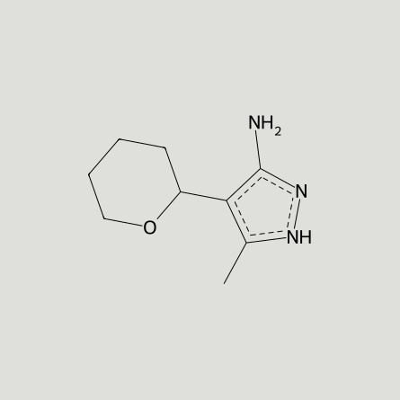 Cc1[nH]nc(N)c1C1CCCCO1